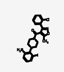 Cc1onc(-c2ccccc2Cl)c1C(=O)N1CCN(c2c(N)cccc2I)CC1